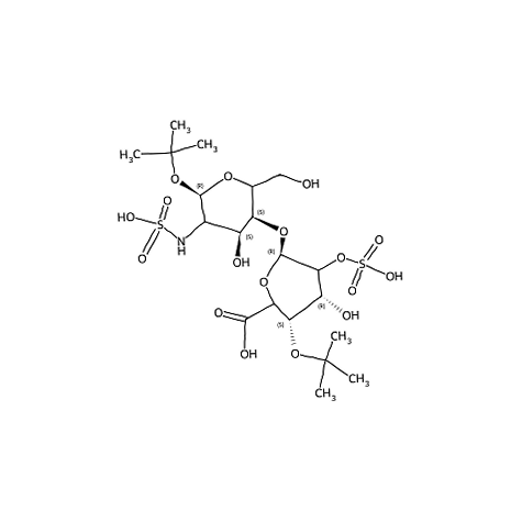 CC(C)(C)O[C@H]1OC(CO)[C@@H](O[C@@H]2OC(C(=O)O)[C@@H](OC(C)(C)C)[C@@H](O)C2OS(=O)(=O)O)[C@@H](O)C1NS(=O)(=O)O